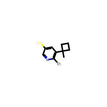 CCc1ncc(S)cc1C1(C)CCC1